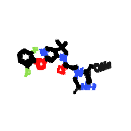 COC[C@H]1CN[C@H](C)CN1CC(=O)N1CC(C)(C)c2cnc(Oc3c(F)cccc3F)cc21